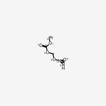 CC(C)OC(=O)OCOn1[nH]o1